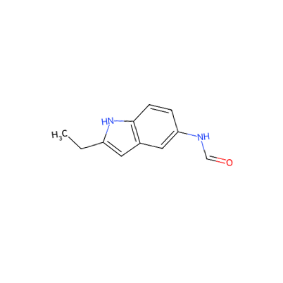 CCc1cc2cc(NC=O)ccc2[nH]1